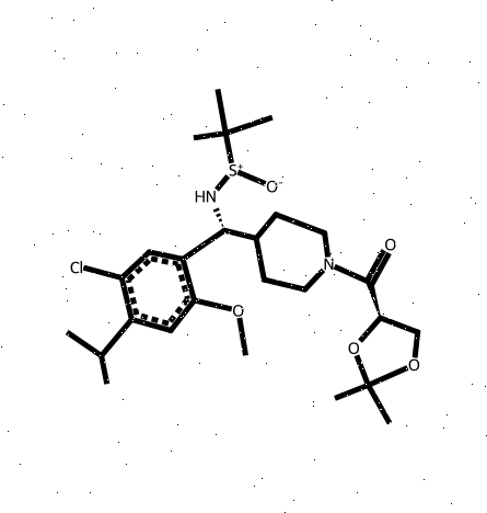 COc1cc(C(C)C)c(Cl)cc1[C@H](N[S+]([O-])C(C)(C)C)C1CCN(C(=O)[C@H]2COC(C)(C)O2)CC1